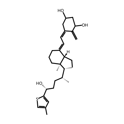 C=C1/C(=C\C=C2/CCC[C@]3(C)[C@@H]([C@H](C)CC[C@@H](O)c4cc(C)cs4)CC[C@@H]23)CC(O)CC1O